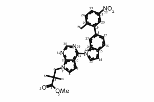 COC(=O)C(C)(C)Cn1ccc2c(-n3ccc4ccc(-c5cc([N+](=O)[O-])ccc5C)cc43)ncnc21